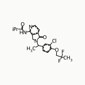 CC(C)C(=O)Nc1nccc2c1CN(C(C)c1ccc(OCC(C)(F)F)c(Cl)c1)C2=O